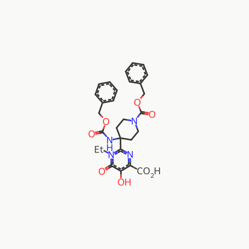 CCn1c(C2(NC(=O)OCc3ccccc3)CCN(C(=O)OCc3ccccc3)CC2)nc(C(=O)O)c(O)c1=O